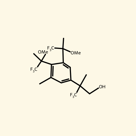 COC(C)(c1cc(C(C)(CO)C(F)(F)F)cc(C)c1C(C)(OC)C(F)(F)F)C(F)(F)F